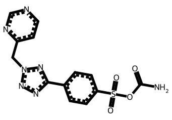 NC(=O)OS(=O)(=O)c1ccc(-c2nnn(Cc3ccncn3)n2)cc1